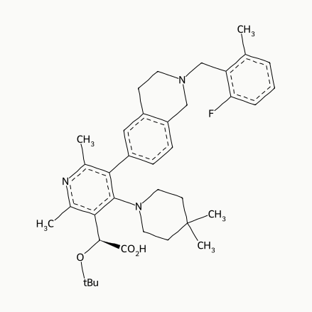 Cc1cccc(F)c1CN1CCc2cc(-c3c(C)nc(C)c([C@H](OC(C)(C)C)C(=O)O)c3N3CCC(C)(C)CC3)ccc2C1